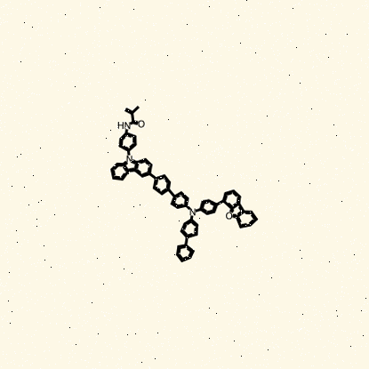 C=C(C)C(=O)Nc1ccc(-n2c3ccccc3c3cc(-c4ccc(-c5ccc(N(c6ccc(-c7ccccc7)cc6)c6ccc(-c7cccc8c7oc7ccccc78)cc6)cc5)cc4)ccc32)cc1